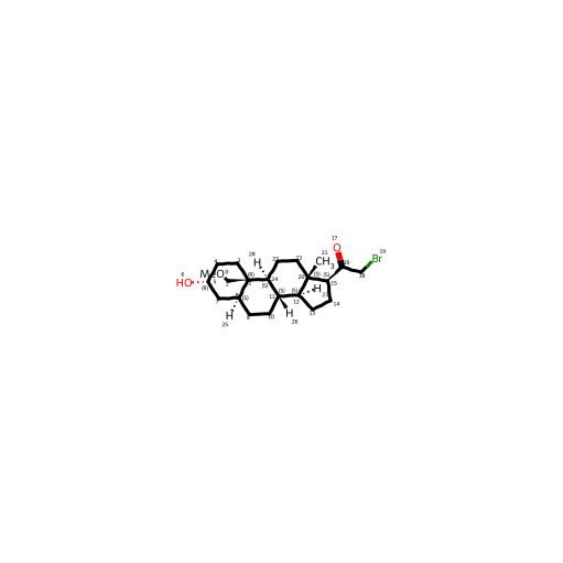 COC[C@]12CC[C@@H](O)C[C@@H]1CC[C@H]1[C@@H]3CC[C@H](C(=O)CBr)[C@@]3(C)CC[C@@H]12